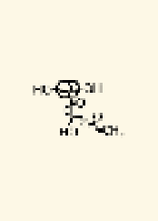 C=CC(=O)OCC(CO)OC(=O)C12CC3CC(O)(CC(O)(C3)C1)C2